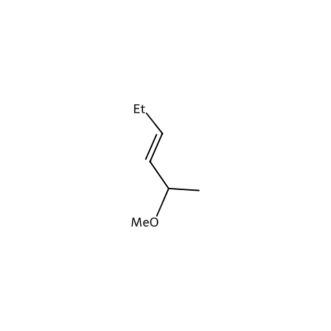 CCC=CC(C)OC